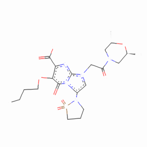 CCCCOc1c(C(=O)O)nc2n(CC(=O)N3C[C@H](C)O[C@@H](C)C3)cc(N3CCCS3(=O)=O)n2c1=O